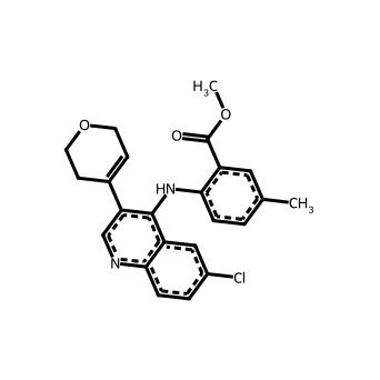 COC(=O)c1cc(C)ccc1Nc1c(C2=CCOCC2)cnc2ccc(Cl)cc12